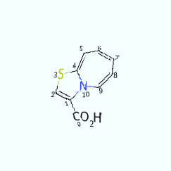 O=C(O)C1=CSC2=CC=CC=CN21